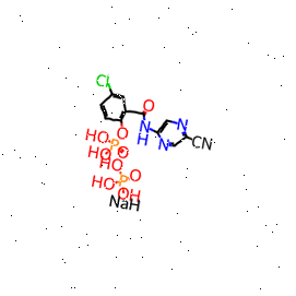 N#Cc1cnc(NC(=O)c2cc(Cl)ccc2OP(=O)(O)O)cn1.O=P(O)(O)O.[NaH]